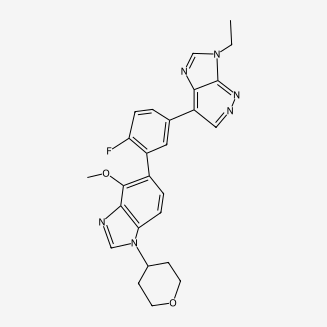 CCn1cnc2c(-c3ccc(F)c(-c4ccc5c(ncn5C5CCOCC5)c4OC)c3)cnnc21